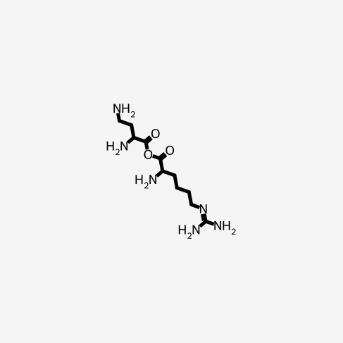 NCCC(N)C(=O)OC(=O)C(N)CCCCN=C(N)N